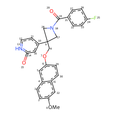 COc1ccc2cc(OCC3(c4cc[nH]c(=O)c4)CN(C(=O)c4ccc(F)cc4)C3)ccc2c1